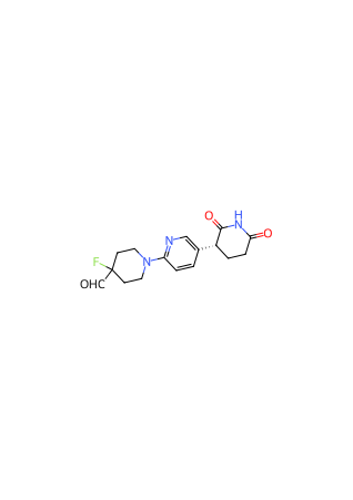 O=CC1(F)CCN(c2ccc([C@H]3CCC(=O)NC3=O)cn2)CC1